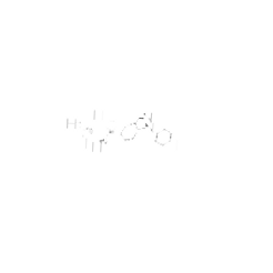 OC[C@]12CC[C@@](O)(C(F)(F)F)C[C@@H]1CCCc1cc3c(cnn3-c3ccc(F)cc3)cc12